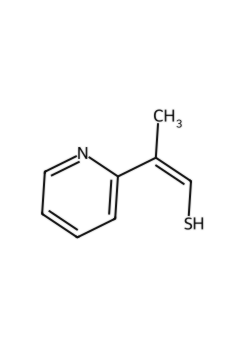 C/C(=C/S)c1ccccn1